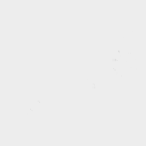 CC(C)OC(=O)[C@H](CCC(=O)OC(C)(C)C)NC(=O)N[C@@H](CCCCNC(=O)CCCCCCCCCCN1CCN(C(=O)OCc2ccccc2)CC1)C(=O)OC(C)(C)C